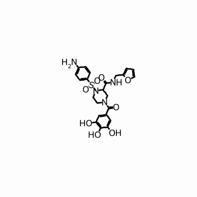 Nc1ccc(S(=O)(=O)N2CCN(C(=O)c3cc(O)c(O)c(O)c3)CC2C(=O)NCc2ccco2)cc1